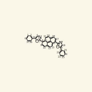 c1ccc(-c2cnc(-c3ccc4ccc5c(-c6ncc(-c7ccccc7)o6)ccc6ccc3c4c65)o2)cc1